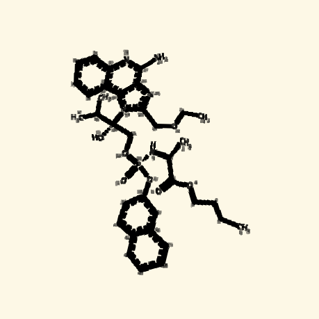 CCCCOC(=O)[C@H](C)N[P@](=O)(OC[C@@](O)(C(C)C)n1c(COCC)nc2c(N)nc3ccccc3c21)Oc1ccc2ccccc2c1